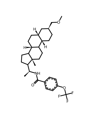 COC[C@H]1CC[C@@H]2C3CC[C@@]4(C)C(CCC4[C@H](C)NC(=O)c4ccc(OC(F)(F)F)cc4)[C@@H]3CC[C@@H]2C1